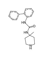 CC1(NC(=O)Nc2ccccc2-c2ccccc2)CCNCC1